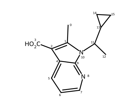 Cc1c(C(=O)O)c2cccnc2n1C(C)C1CC1